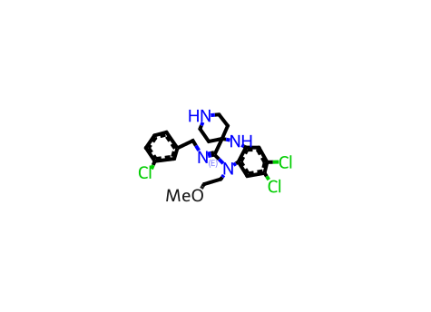 COCCN1/C(=N/Cc2cccc(Cl)c2)C2(CCNCC2)Nc2cc(Cl)c(Cl)cc21